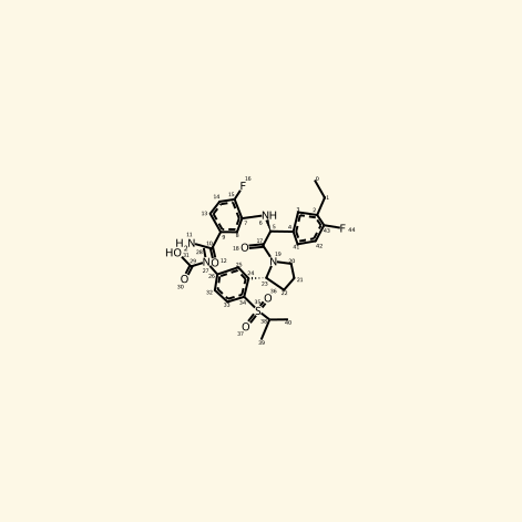 CCc1cc([C@H](Nc2cc(C(N)=O)ccc2F)C(=O)N2CCC[C@@H]2c2cc(N(C)C(=O)O)ccc2S(=O)(=O)C(C)C)ccc1F